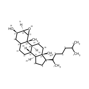 CC(C)CCCC(C)[C@H]1CC[C@H]2[C@@H]3CCC4C[C@@H](O)[C@H]5OC5[C@]4(C)[C@H]3CC[C@]12C